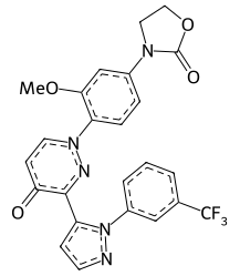 COc1cc(N2CCOC2=O)ccc1-n1ccc(=O)c(-c2ccnn2-c2cccc(C(F)(F)F)c2)n1